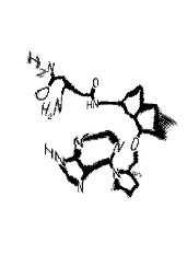 NC(=O)CC(N)C(=O)Nc1ccc2cccc(OC[C@H]3CCCN3c3ncnc4[nH]cnc34)c2c1